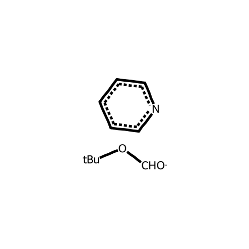 CC(C)(C)O[C]=O.c1ccncc1